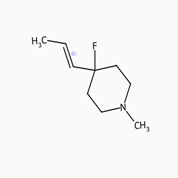 C/C=C/C1(F)CCN(C)CC1